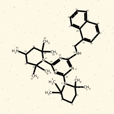 CC1(C)CCCC(C)(C)N1c1nc(NCc2cccc3ccccc23)nc(N2C(C)(C)CC(N)CC2(C)C)n1